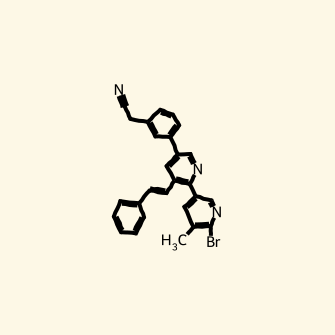 Cc1cc(-c2ncc(-c3cccc(CC#N)c3)cc2C=Cc2ccccc2)cnc1Br